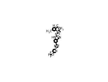 Cc1ccc(C(C)C)c(N2C(=O)CSC2=NC(=O)Nc2ccc(-c3ncn(-c4ccc(OC(F)(F)F)cn4)n3)cc2C#N)c1